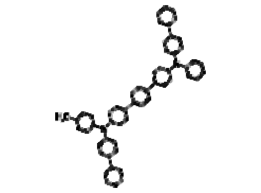 Cc1ccc(N(c2ccc(-c3ccccc3)cc2)c2ccc(-c3ccc(-c4ccc(N(c5ccccc5)c5ccc(-c6ccccc6)cc5)cc4)cc3)cc2)cc1